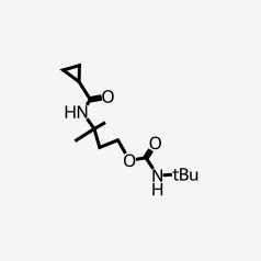 CC(C)(C)NC(=O)OCCC(C)(C)NC(=O)C1CC1